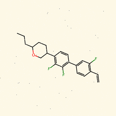 C=Cc1ccc(-c2ccc(C3CCC(CCC)OC3)c(F)c2F)cc1F